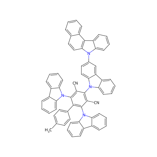 Cc1ccc(-c2c(-n3c4ccccc4c4ccccc43)c(C#N)c(-n3c4ccccc4c4cc(-n5c6ccccc6c6c7ccccc7ccc65)ccc43)c(C#N)c2-n2c3ccccc3c3ccccc32)cc1